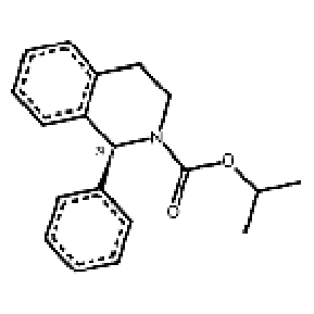 CC(C)OC(=O)N1CCc2ccccc2[C@@H]1c1ccccc1